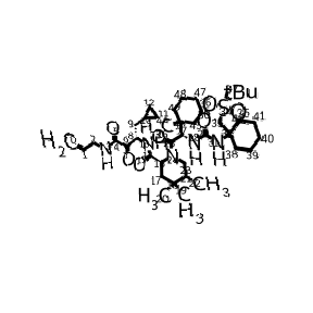 C=CCNC(=O)C(=O)[C@H](CC1CC1)NC(=O)[C@@H]1CC(C)(C)C(C)CN1C(=O)[C@@H](NC(=O)NC1(CS(=O)(=O)C(C)(C)C)CCCCC1)C1(C)CCCCC1